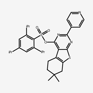 CC(C)c1cc(C(C)C)c(S(=O)(=O)Oc2nc(-c3ccncc3)nc3sc4c(c23)CCC(C)(C)C4)c(C(C)C)c1